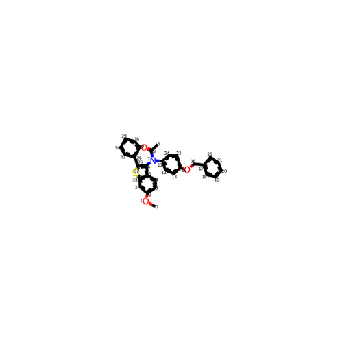 COc1ccc2c(N(C(C)=O)c3ccc(OCc4ccccc4)cc3)c(-c3ccccc3)sc2c1